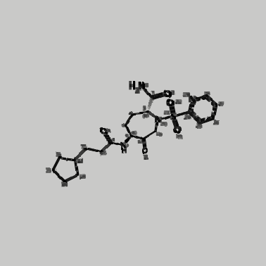 NC(=O)[C@H]1CC[C@H](NC(=O)[CH]CC2CCCC2)C(=O)CN1S(=O)(=O)c1ccccn1